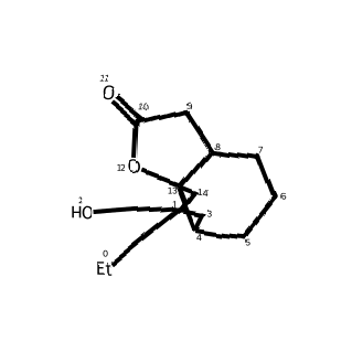 CCC1(O)CC2CCCC3CC(=O)OC32C1